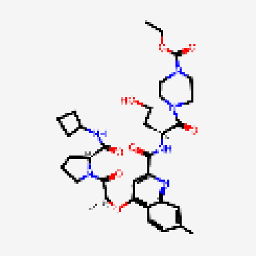 CCOC(=O)N1CCN(C(=O)[C@H](CCO)NC(=O)c2cc(O[C@H](C)C(=O)N3CCC[C@H]3C(=O)NC3CCC3)c3ccc(C)cc3n2)CC1